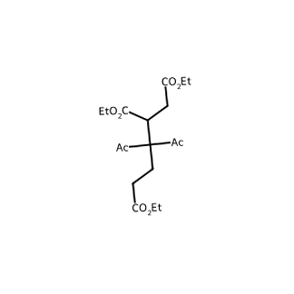 CCOC(=O)CCC(C(C)=O)(C(C)=O)C(CC(=O)OCC)C(=O)OCC